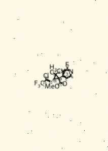 COC(=O)[C@]1(c2ccnc(F)c2)[C@H](C=C(Cl)C(F)(F)F)C1(C)C